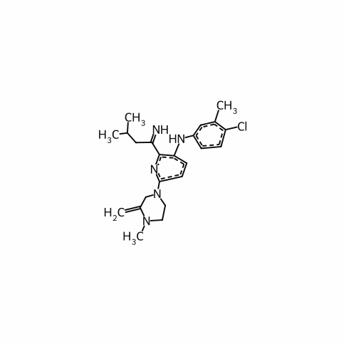 C=C1CN(c2ccc(Nc3ccc(Cl)c(C)c3)c(C(=N)CC(C)C)n2)CCN1C